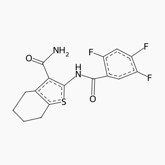 NC(=O)c1c(NC(=O)c2cc(F)c(F)cc2F)sc2c1CCCC2